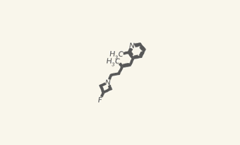 C/C(=C\c1cccnc1C)CCN1CC(F)C1